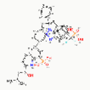 CC(C)CC(O)c1ccc2cc(-c3ccc(CC(Cc4ccc(C(F)(F)P(=O)(O)O)cc4)(c4ccccc4)n4nnc5ccccc54)cc3)cc(P(=O)(O)O)c2n1